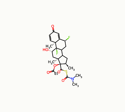 CCC(=O)O[C@]1(C(=O)SC(=O)N(C)C)[C@H](C)CC2C3C[C@H](F)C4=CC(=O)C=C[C@]4(C)[C@@]3(F)[C@@H](O)C[C@@]21C